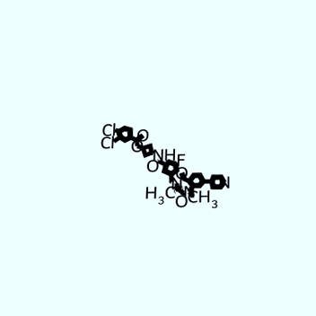 C[C@@H]1C(=O)N(C)c2cc(-c3ccncc3)ccc2C(=O)N1Cc1cc(F)cc(C(=O)NC2CC(OC(=O)c3ccc(Cl)c(Cl)c3)C2)c1